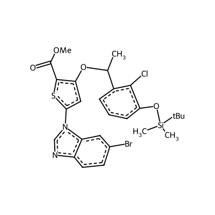 COC(=O)c1sc(-n2cnc3ccc(Br)cc32)cc1OC(C)c1cccc(O[Si](C)(C)C(C)(C)C)c1Cl